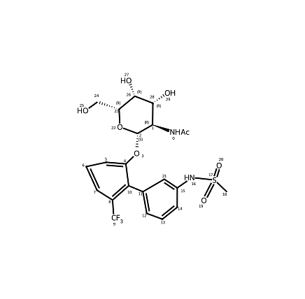 CC(=O)N[C@H]1[C@H](Oc2cccc(C(F)(F)F)c2-c2cccc(NS(C)(=O)=O)c2)O[C@H](CO)[C@H](O)[C@@H]1O